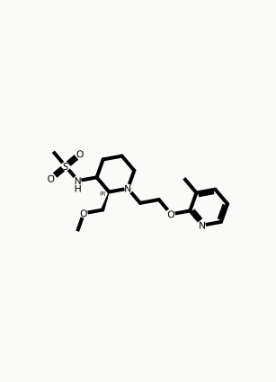 COC[C@H]1C(NS(C)(=O)=O)CCCN1CCOc1ncccc1C